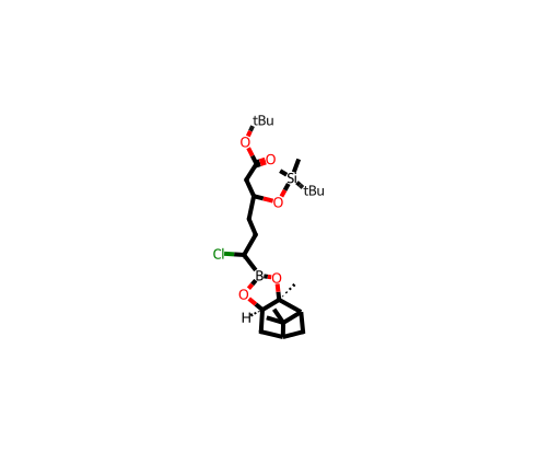 CC(C)(C)OC(=O)CC(CC[C](Cl)B1O[C@@H]2CC3CC(C3(C)C)[C@]2(C)O1)O[Si](C)(C)C(C)(C)C